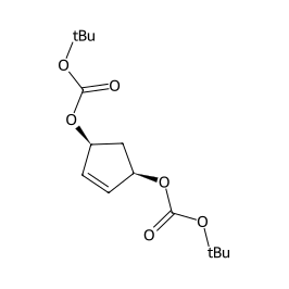 CC(C)(C)OC(=O)O[C@@H]1C=C[C@H](OC(=O)OC(C)(C)C)C1